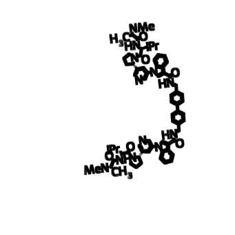 CN[C@@H](C)C(=O)N[C@H](C(=O)N1CCC[C@H]1c1cncc(-n2cc(C(=O)NCc3ccc(-c4ccc(CNC(=O)c5cn(-c6cncc([C@@H]7CCCN7C(=O)[C@@H](NC(=O)[C@H](C)NC)C(C)C)c6)c6ccccc56)cc4)cc3)c3ccccc32)c1)C(C)C